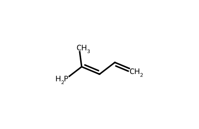 C=C/C=C(\C)P